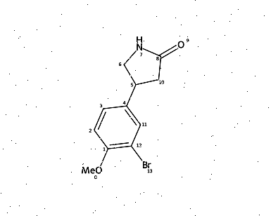 COc1ccc(C2CNC(=O)C2)cc1Br